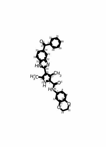 Cc1[nH]c(C(=O)Nc2ccc3c(c2)OCCO3)c(C)c1-c1nc2cc(C(=O)c3ccccc3)ccc2[nH]1